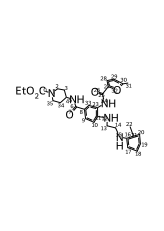 CCOC(=O)N1CCC(NC(=O)c2ccc(NCCNc3ccccc3C)c(NC(=O)c3ccc(C)o3)c2)CC1